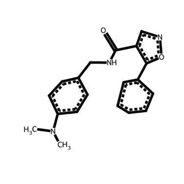 CN(C)c1ccc(CNC(=O)c2cnoc2-c2ccccc2)cc1